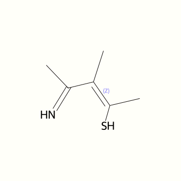 CC(=N)/C(C)=C(/C)S